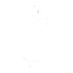 CC(C)N(CCC(=O)CNCc1ccc(C2=NCCN2C(=O)O)cc1)S(=O)(=O)c1cccc(Cl)c1Cl